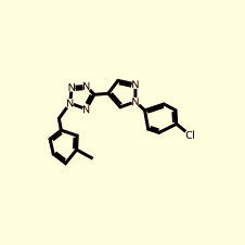 Cc1cccc(Cn2nnc(-c3cnn(-c4ccc(Cl)cc4)c3)n2)c1